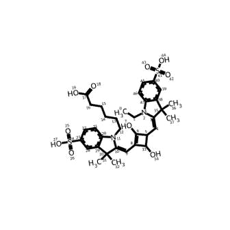 CCN1C(=CC2C(O)=C(C=C3N(CCCCCC(=O)O)c4ccc(S(=O)(=O)O)cc4C3(C)C)C2O)C(C)(C)c2cc(S(=O)(=O)O)ccc21